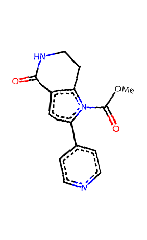 COC(=O)n1c(-c2ccncc2)cc2c1CCNC2=O